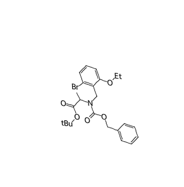 CCOc1cccc(Br)c1CN(C(=O)OCc1ccccc1)C(C)C(=O)OC(C)(C)C